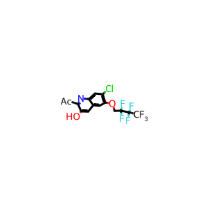 CC(=O)c1nc2cc(Cl)c(OCC(F)(F)C(F)(F)C(F)(F)F)cc2cc1O